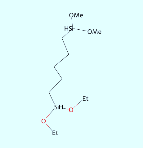 CCO[SiH](CCCCC[SiH](OC)OC)OCC